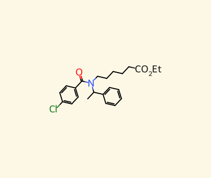 CCOC(=O)CCCCCN(C(=O)c1ccc(Cl)cc1)C(C)c1ccccc1